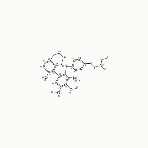 CCN(C)CCc1ccc(Cc2c(-c3c(O)ccc4c3CCCC4)cc(OC)c(OC)c2N)cc1